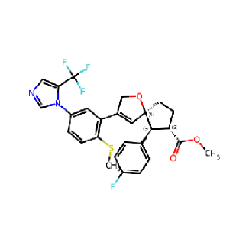 COC(=O)[C@H]1CC[C@@]2(C=C(c3cc(-n4cncc4C(F)(F)F)ccc3SC)CO2)[C@@H]1c1ccc(F)cc1